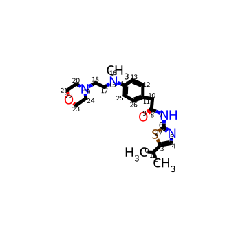 CC(C)c1cnc(NC(=O)Cc2ccc(N(C)CCN3CCOCC3)cc2)s1